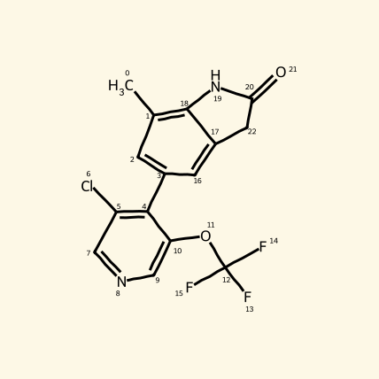 Cc1cc(-c2c(Cl)cncc2OC(F)(F)F)cc2c1NC(=O)C2